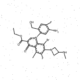 CCOC(=O)c1cn(-c2cc(N)c(F)cc2CO)c2c(Br)c(N3CC(NC)C3)c(F)c(C)c2c1=O